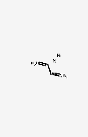 C=CC=C.[Ni].[Ni]